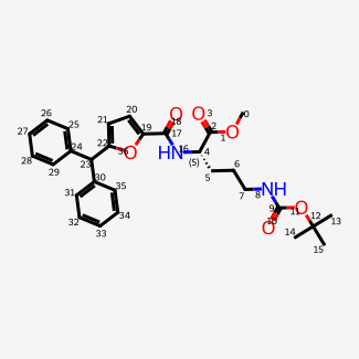 COC(=O)[C@H](CCCNC(=O)OC(C)(C)C)NC(=O)c1ccc(C(c2ccccc2)c2ccccc2)o1